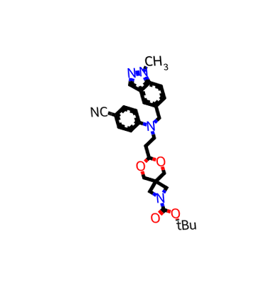 Cn1ncc2cc(CN(CCC3OCC4(CO3)CN(C(=O)OC(C)(C)C)C4)c3ccc(C#N)cc3)ccc21